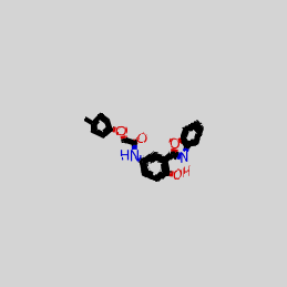 Cc1ccc(OCC(=O)Nc2ccc(O)c(-c3nc4ccccc4o3)c2)cc1